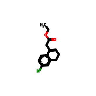 CCOC(=O)CC1=CCCc2cc(Br)ccc21